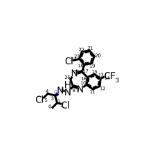 CC(Cl)/C(CCl)=N\NC1=Nc2ccc(C(F)(F)F)cc2C(c2ccccc2Cl)=NC1